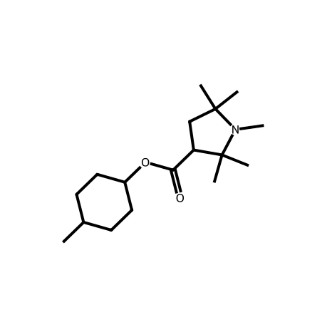 CC1CCC(OC(=O)C2CC(C)(C)N(C)C2(C)C)CC1